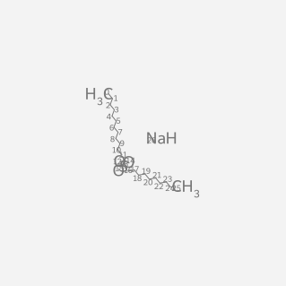 CCCCCCCCCCCCOS(=O)(=O)CCCCCCCCCC.[NaH]